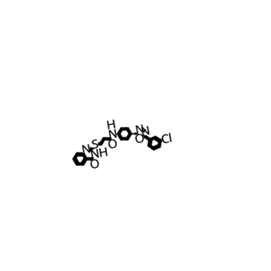 O=C(CCSc1nc2ccccc2c(=O)[nH]1)N[C@H]1CC[C@H](c2nnc(-c3cccc(Cl)c3)o2)CC1